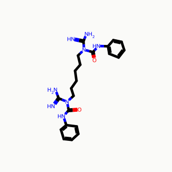 N=C(N)N(CCCCCCN(C(=N)N)C(=O)Nc1ccccc1)C(=O)Nc1ccccc1